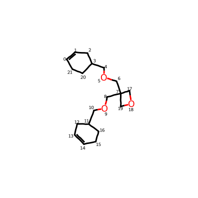 C1=CCC(COCC2(COCC3CC=CCC3)COC2)CC1